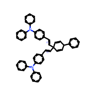 C1=CC(/C=C/c2ccc(N(c3ccccc3)c3ccccc3)cc2)(/C=C/c2ccc(N(c3ccccc3)c3ccccc3)cc2)C=CC1c1ccccc1